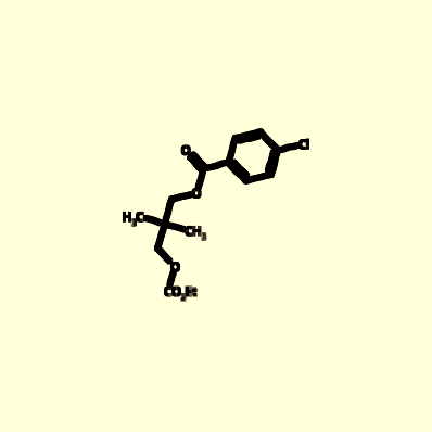 CCOC(=O)OCC(C)(C)COC(=O)c1ccc(Cl)cc1